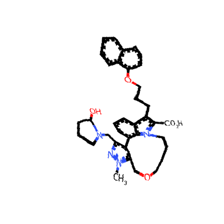 Cn1nc(CN2CCCC2O)c2c1COCCCCn1c(C(=O)O)c(CCCOc3cccc4ccccc34)c3cccc-2c31